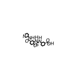 COc1ccc(C(=O)Nc2cccnc2)cc1NC(=S)Nc1cccc(C(=O)O)c1